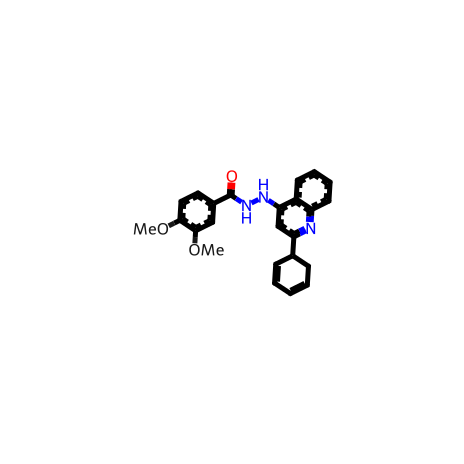 COc1ccc(C(=O)NNc2cc(C3C=CC=CC3)nc3ccccc23)cc1OC